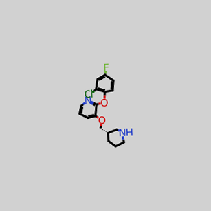 Fc1ccc(Oc2ncccc2OC[C@H]2CCCNC2)c(Cl)c1